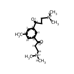 Cc1cc(C(=O)CCN(C)C)cc(C(=O)CCN(C)C)c1